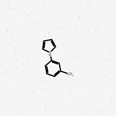 ClC(Cl)(Cl)c1cc[c]c([SH]2C=CC=C2)c1